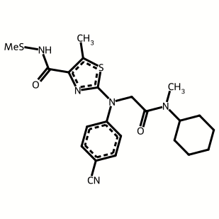 CSNC(=O)c1nc(N(CC(=O)N(C)C2CCCCC2)c2ccc(C#N)cc2)sc1C